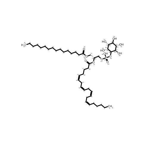 CCCCC/C=C\C/C=C\C/C=C\C/C=C\CCCC(=O)O[C@H](COC(=O)CCCCCCCCCCCCCCC)COP(=O)(O)OC1[C@H](O)[C@H](O)C(O)[C@H](O)[C@H]1O